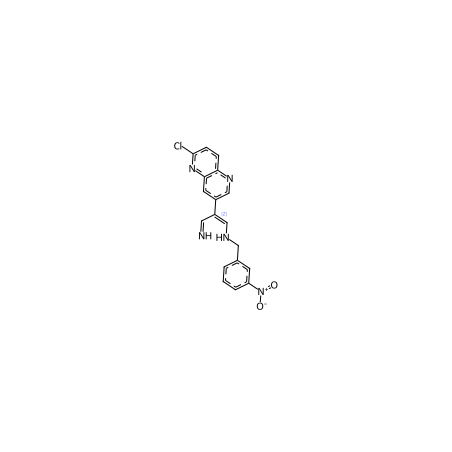 N=C/C(=C\NCc1cccc([N+](=O)[O-])c1)c1cnc2ccc(Cl)nc2c1